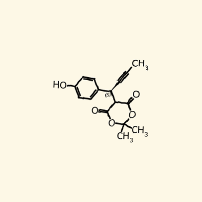 CC#C[C@H](c1ccc(O)cc1)C1C(=O)OC(C)(C)OC1=O